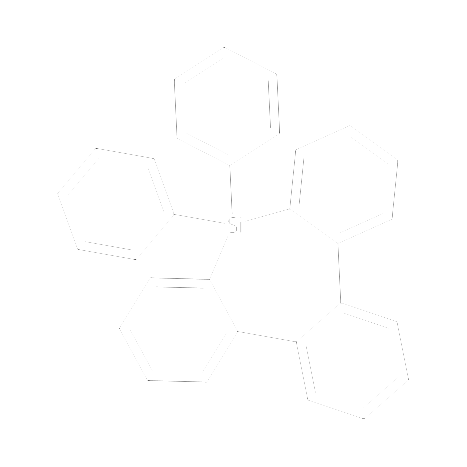 c1ccc([Si]2(c3ccccc3)c3ccccc3-c3ccccc3-c3ccccc32)cc1